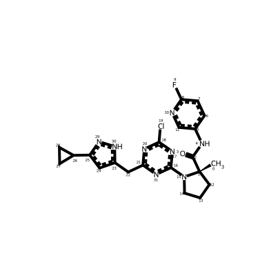 C[C@@]1(C(=O)Nc2ccc(F)nc2)CCCN1c1nc(Cl)nc(Cc2cc(C3CC3)n[nH]2)n1